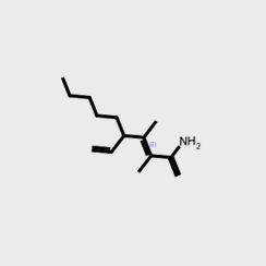 C=CC(CCCCC)/C(C)=C(\C)C(=C)N